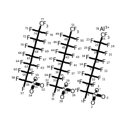 O=S(=O)([O-])C(F)(F)C(F)(F)C(F)(F)C(F)(F)C(F)(F)C(F)(F)C(F)(F)C(F)(F)F.O=S(=O)([O-])C(F)(F)C(F)(F)C(F)(F)C(F)(F)C(F)(F)C(F)(F)C(F)(F)C(F)(F)F.O=S(=O)([O-])C(F)(F)C(F)(F)C(F)(F)C(F)(F)C(F)(F)C(F)(F)C(F)(F)C(F)(F)F.[Al+3]